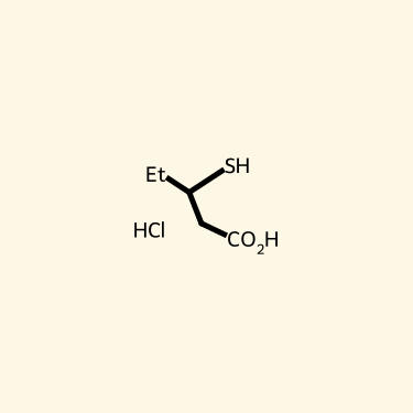 CCC(S)CC(=O)O.Cl